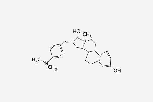 CN(C)c1ccc(/C=C2\CC3C4CCc5cc(O)ccc5C4CCC3(C)C2O)cc1